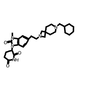 Cn1c(=O)n(C2CCC(=O)NC2=O)c2ccc(CCN3CC4(CCN(CC5CCCCC5)CC4)C3)cc21